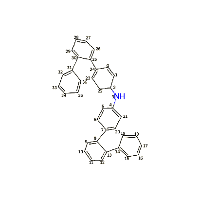 C1=CC(Nc2ccc(-c3ccccc3-c3ccccc3)cc2)CC=C1c1ccccc1-c1ccccc1